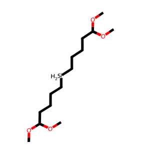 COC(CCCC[SiH2]CCCCC(OC)OC)OC